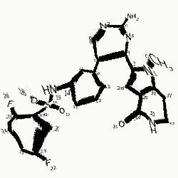 Cn1c(-c2nc(N)ncc2-c2cccc(NS(=O)(=O)c3cc(F)ccc3F)c2)cc2c1CCNC2=O